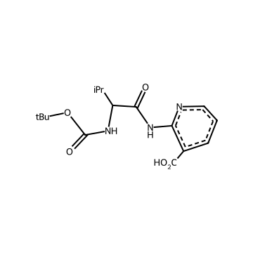 CC(C)C(NC(=O)OC(C)(C)C)C(=O)Nc1ncccc1C(=O)O